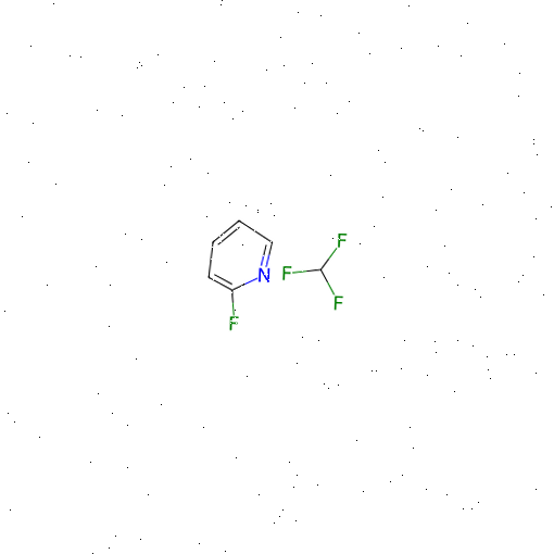 FC(F)F.Fc1ccccn1